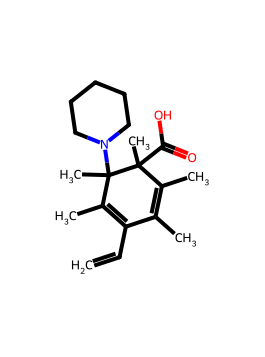 C=CC1=C(C)C(C)(N2CCCCC2)C(C)(C(=O)O)C(C)=C1C